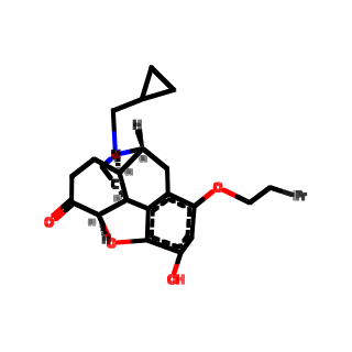 CC(C)CCOc1cc(O)c2c3c1C[C@@H]1[C@@H]4CCC(=O)[C@H](O2)[C@]34CCN1CC1CC1